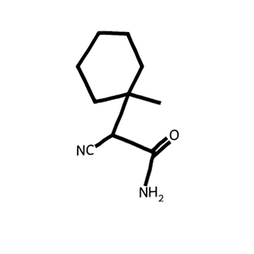 CC1(C(C#N)C(N)=O)CCCCC1